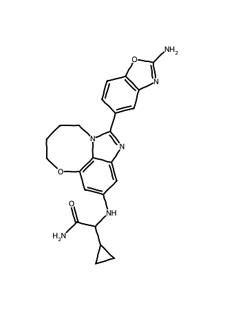 NC(=O)C(Nc1cc2c3c(c1)nc(-c1ccc4oc(N)nc4c1)n3CCCCO2)C1CC1